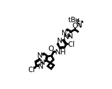 CC(O[Si](C)(C)C(C)(C)C)c1cnn(-c2ncc(NC(=O)C3CC4(CCC4)c4c3cnc3cc(Cl)nn43)cc2Cl)n1